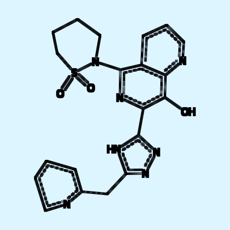 O=S1(=O)CCCCN1c1nc(-c2nnc(Cc3ccccn3)[nH]2)c(O)c2ncccc12